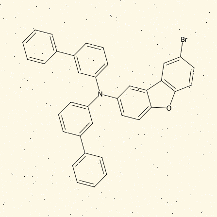 Brc1ccc2oc3ccc(N(c4cccc(-c5ccccc5)c4)c4cccc(-c5ccccc5)c4)cc3c2c1